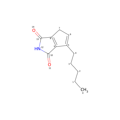 CCCCCC1=CCC2=C1C(=O)NC2=O